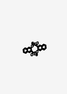 CP1(=O)Oc2cc3ccccc3cc2C(=O)P(C)(=O)Oc2cc3ccccc3cc2C1=O